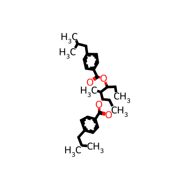 CCC(OC(=O)c1ccc(CC(C)C)cc1)C(C)C(CC)OC(=O)c1ccc(CC(C)C)cc1